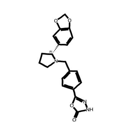 O=c1[nH]nc(-c2ccc(CN3CCC[C@@H]3c3ccc4c(c3)OCO4)cc2)o1